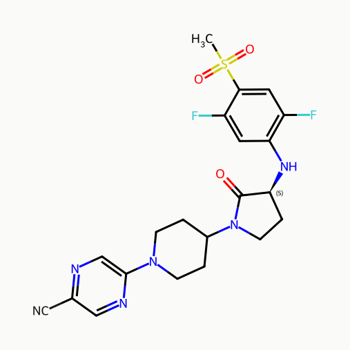 CS(=O)(=O)c1cc(F)c(N[C@H]2CCN(C3CCN(c4cnc(C#N)cn4)CC3)C2=O)cc1F